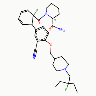 CCC(F)(CC)CN1CCC(COc2ccc(C3C=CC=CC3(F)C(=O)N3CCCC[C@@H]3C(N)=O)cc2C#N)CC1